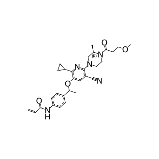 C=CC(=O)Nc1ccc(C(C)Oc2cc(C#N)c(N3CCN(C(=O)CCOC)[C@H](C)C3)nc2C2CC2)cc1